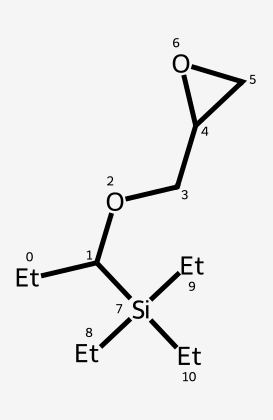 CCC(OCC1CO1)[Si](CC)(CC)CC